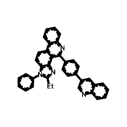 CCc1nc2c3c(-c4ccc(-c5cnc6ccccc6c5)cc4)nc4ccccc4c3ccc2n1-c1ccccc1